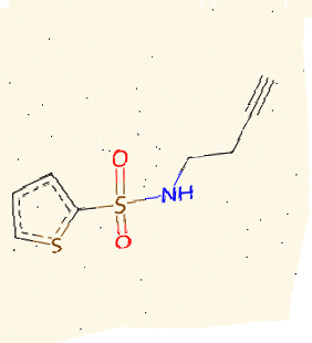 C#CCCNS(=O)(=O)c1cccs1